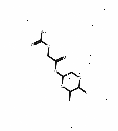 CCC(C)C(=O)OCC(=O)OC1CSC(C)C(C)S1